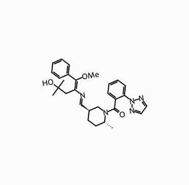 CO/C(=C(CC(C)(C)O)\N=C\[C@@H]1CC[C@@H](C)N(C(=O)c2ccccc2-n2nccn2)C1)c1ccccc1